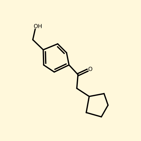 O=C(CC1CCCC1)c1ccc(CO)cc1